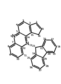 C1=Cc2ccc3nc4ccccc4nc3c2C1.c1ccc2c(c1)Cc1ccccc1-2